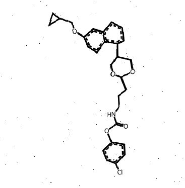 O=C(NCCCC1OCC(c2cccc3cc(OCC4CC4)ccc23)CO1)Oc1ccc(Cl)cc1